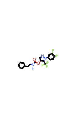 O=C(NCCc1ccccc1)Oc1cnn(-c2ccc(F)c(F)c2)c1C(F)(F)F